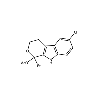 CCC1(OC(C)=O)OCCc2c1[nH]c1ccc(Cl)cc21